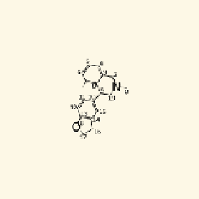 CN1Cc2ccccc2C(c2ccc3c(c2)CCO3)C1